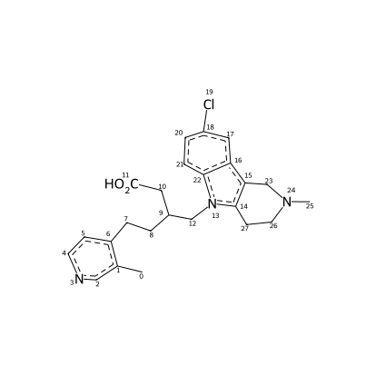 Cc1cnccc1CCC(CC(=O)O)Cn1c2c(c3cc(Cl)ccc31)CN(C)CC2